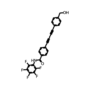 O=C(Nc1c(F)c(F)c(F)c(F)c1F)c1ccc(C#CC#Cc2ccc(CO)cc2)cc1